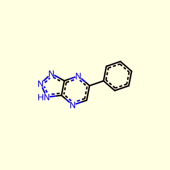 c1ccc(-c2cnc3[nH]nnc3n2)cc1